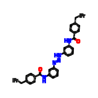 CC(C)Cc1ccc(C(=O)Nc2cccc(/N=N/Nc3cccc(NC(=O)c4ccc(CC(C)C)cc4)c3)c2)cc1